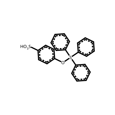 O=S(=O)(O)c1ccc(OS(c2ccccc2)(c2ccccc2)c2ccccc2)cc1